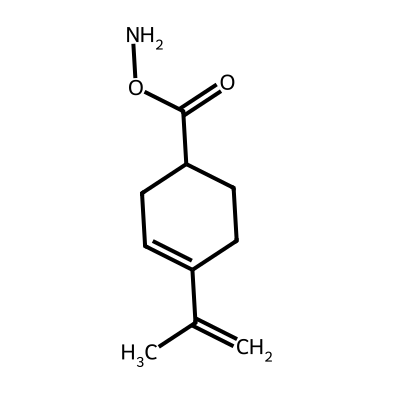 C=C(C)C1=CCC(C(=O)ON)CC1